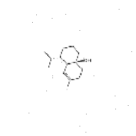 CC1=CC2[C@H](C(C)C)CCC[C@]2(O)CC1